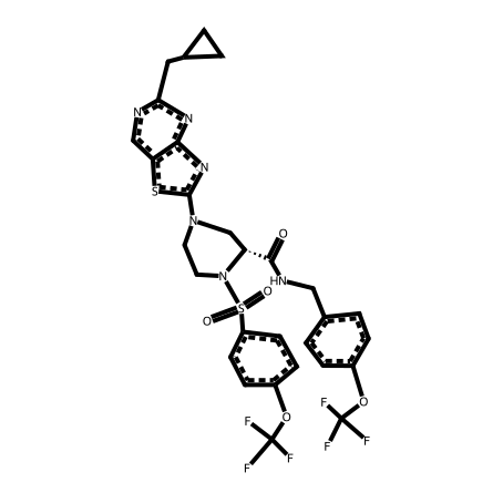 O=C(NCc1ccc(OC(F)(F)F)cc1)[C@H]1CN(c2nc3nc(CC4CC4)ncc3s2)CCN1S(=O)(=O)c1ccc(OC(F)(F)F)cc1